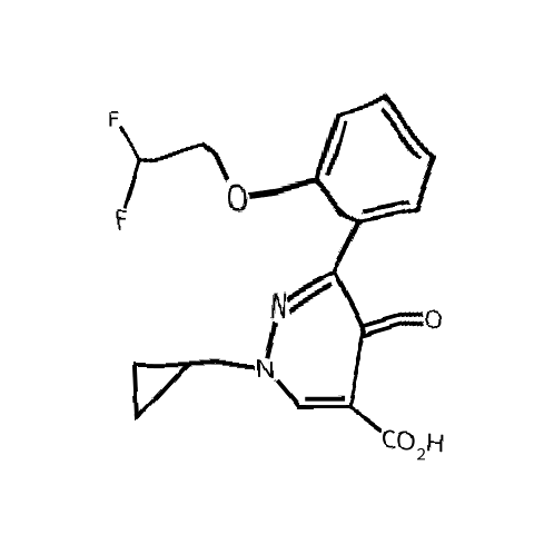 O=C(O)c1cn(C2CC2)nc(-c2ccccc2OCC(F)F)c1=O